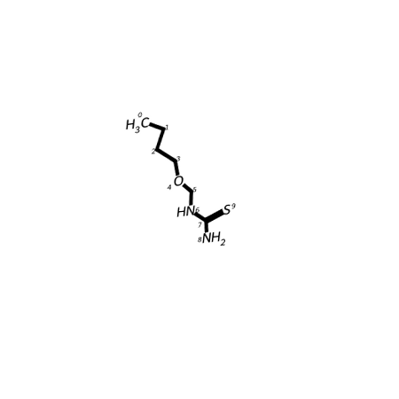 CCCCOCNC(N)=S